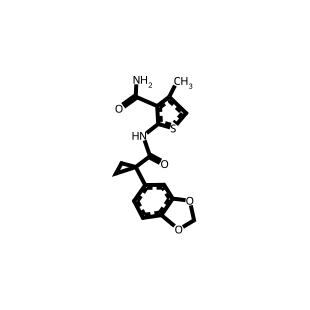 Cc1csc(NC(=O)C2(c3ccc4c(c3)OCO4)CC2)c1C(N)=O